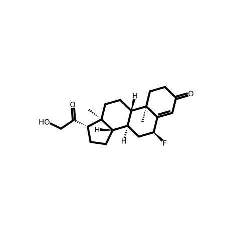 C[C@]12CC[C@H]3[C@@H](C[C@H](F)C4=CC(=O)CC[C@@]43C)[C@@H]1CC[C@@H]2C(=O)CO